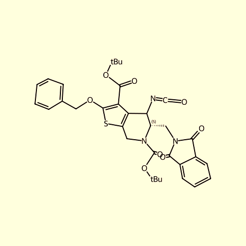 CC(C)(C)OC(=O)c1c(OCc2ccccc2)sc2c1C(N=C=O)[C@H](CN1C(=O)c3ccccc3C1=O)N(C(=O)OC(C)(C)C)C2